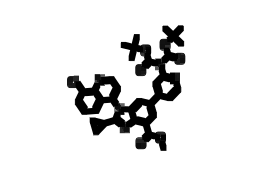 COC(=O)c1cc(-c2ccnc(N(C(=O)OC(C)(C)C)C(=O)OC(C)(C)C)c2)cc2c1nc(C1CC1)n2-c1ccnc2c(Cl)cccc12